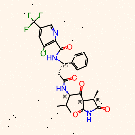 CC(C)[C@@H](NC(=O)C[C@H](NC(=O)c1ncc(C(F)(F)F)cc1Cl)c1ccccc1)C(=O)[C@@H]1C(=O)NC(=O)[C@@H]1C